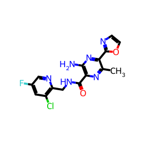 Cc1nc(C(=O)NCc2ncc(F)cc2Cl)c(N)nc1-c1ncco1